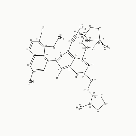 CC#Cc1nc(-c2cc(O)cc3ccc(F)c(CC)c23)c(F)c2nc(OC[C@@H]3CCCN3C)nc(N3C[C@@H]4CC[C@](C)(C3)N4)c12